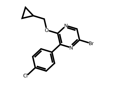 Clc1ccc(-c2nc(Br)cnc2OCC2CC2)cc1